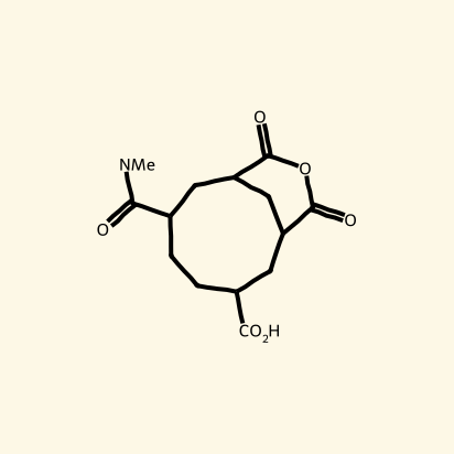 CNC(=O)C1CCC(C(=O)O)CC2CC(C1)C(=O)OC2=O